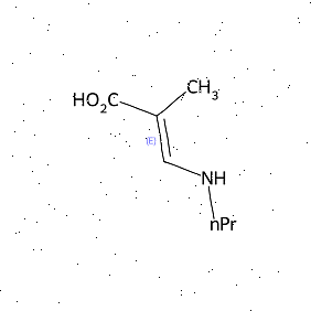 CCCN/C=C(\C)C(=O)O